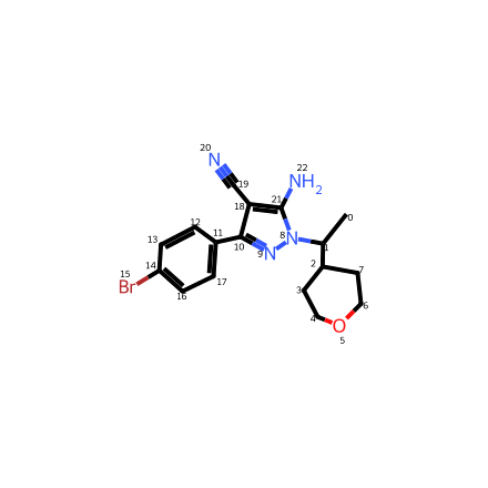 CC(C1CCOCC1)n1nc(-c2ccc(Br)cc2)c(C#N)c1N